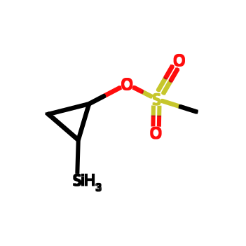 CS(=O)(=O)OC1CC1[SiH3]